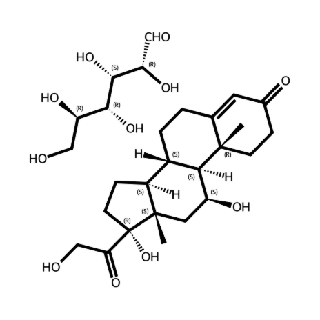 C[C@]12CCC(=O)C=C1CC[C@@H]1[C@@H]2[C@@H](O)C[C@@]2(C)[C@H]1CC[C@]2(O)C(=O)CO.O=C[C@H](O)[C@@H](O)[C@H](O)[C@H](O)CO